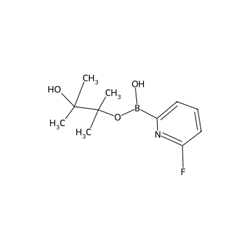 CC(C)(O)C(C)(C)OB(O)c1cccc(F)n1